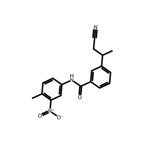 Cc1ccc(NC(=O)c2cccc(C(C)CC#N)c2)cc1[N+](=O)[O-]